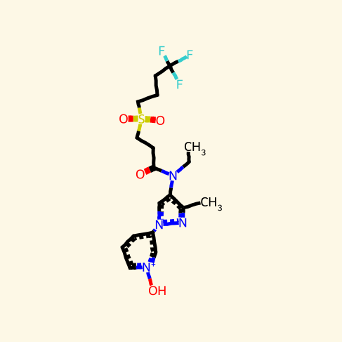 CCN(C(=O)CCS(=O)(=O)CCCC(F)(F)F)c1cn(-c2ccc[n+](O)c2)nc1C